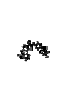 Cc1nc2cnccc2n1CC1CCN(C(=O)NCc2ccc(NC(=O)OC(C)(C)C)cc2)CC1